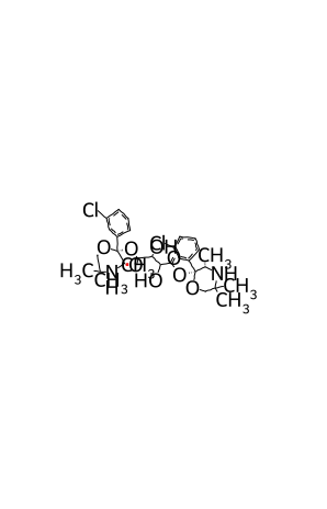 C[C@@H]1NC(C)(C)CO[C@@]1(OC(=O)C(O)C(O)C(=O)O[C@@]1(c2cccc(Cl)c2)OCC(C)(C)N[C@H]1C)c1cccc(Cl)c1